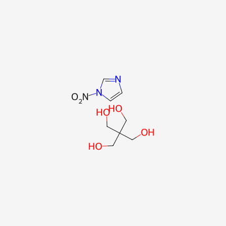 O=[N+]([O-])n1ccnc1.OCC(CO)(CO)CO